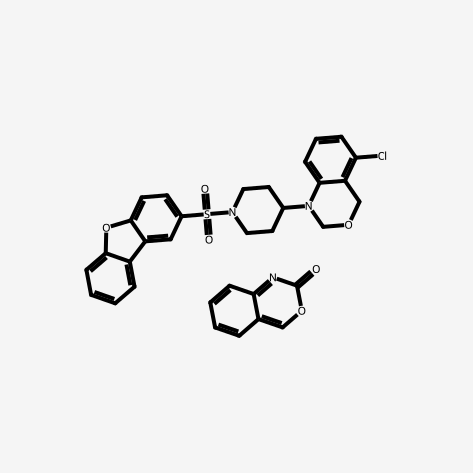 O=S(=O)(c1ccc2oc3ccccc3c2c1)N1CCC(N2COCc3c(Cl)cccc32)CC1.O=c1nc2ccccc2co1